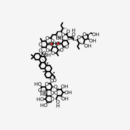 CC[C@H](C)[C@H](C[C@H](O)CC(=O)O[C@@H]1C(C)O[C@@H](OC(=O)[C@]23CCC(C)(C)CC2C2=CCC4[C@@]5(C)CC[C@H](O[C@@H]6OC(C(=O)O)[C@H](O)C(O[C@@H]7OC[C@@H](O)C(O)C7O)[C@H]6O[C@@H]6OC(CO)[C@H](O)C(O)C6O)[C@@](C)(C=O)C5CC[C@@]4(C)[C@]2(C)C[C@H]3O)C(O[C@@H]2OC(C)[C@H](O[C@H]3OCC(O)[C@H](O)C3O)C(O)C2O)C1O)OC(=O)C[C@@H](O)C[C@H](O[C@@H]1O[C@@H](CO)C(O)C1CO)[C@@H](C)CC